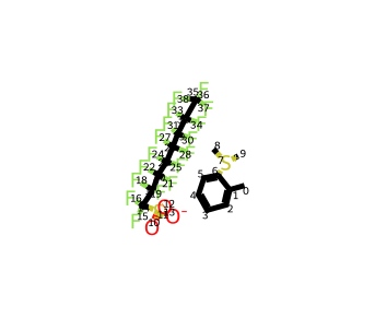 Cc1ccccc1[S+](C)C.O=S(=O)([O-])C(F)(F)C(F)(F)C(F)(F)C(F)(F)C(F)(F)C(F)(F)C(F)(F)C(F)(F)F